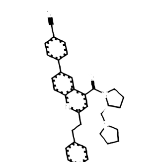 N#Cc1ccc(-c2ccc3nc(CCc4ccccc4)cc(C(=O)N4CCC[C@H]4CN4CCCC4)c3c2)cc1